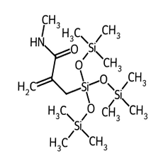 C=C(C[Si](O[Si](C)(C)C)(O[Si](C)(C)C)O[Si](C)(C)C)C(=O)NC